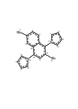 CC(C)(C)c1ccc2c(-n3cccc3)c(C(C)(C)C)cc(-n3cccc3)c2c1